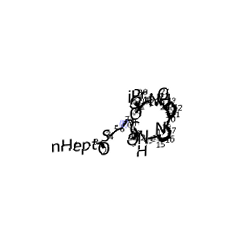 CCCCCCCC(=O)SCC/C=C/[C@@H]1CC(=O)NCc2cccc(n2)-c2cccc(c2)C(=O)N[C@@H](C(C)C)C(=O)O1